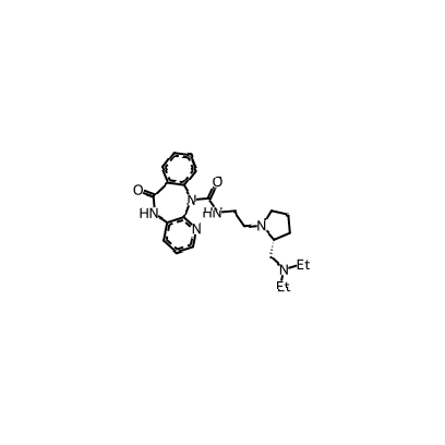 CCN(CC)C[C@H]1CCCN1CCNC(=O)N1c2ccccc2C(=O)Nc2cccnc21